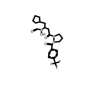 O=CN(O)C(CC(=O)N1CCCN1C(=O)c1ccc(C(F)(F)F)cc1)CC1CCCC1